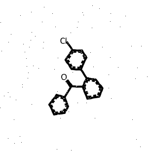 O=C(c1ccccc1)c1ccccc1-c1ccc(Cl)cc1